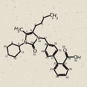 CCCCc1c(C)n(C2CCCCC2)c(=O)n1Cc1ccc(-c2ccccc2C(=O)O)cc1